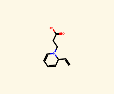 C=CC1C=CC=CN1CCC(=O)O